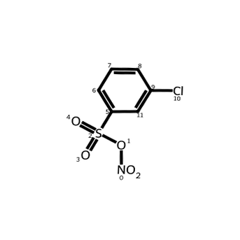 O=[N+]([O-])OS(=O)(=O)c1cccc(Cl)c1